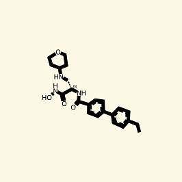 CCc1ccc(-c2ccc(C(=O)N[C@@H](CNC3CCOCC3)C(=O)NO)cc2)cc1